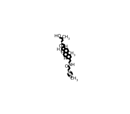 C[C@H](CO)CC[C@@H]1C[C@H]2C(CC3[C@@H]4CC[C@@H]5CC(CCNC(=O)CCN6CCN(C)CC6)CC[C@]5(C)C4CC[C@@]32C)O1